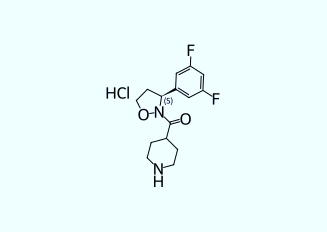 Cl.O=C(C1CCNCC1)N1OCC[C@H]1c1cc(F)cc(F)c1